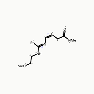 CC/C(=N\C=N/CC(=O)NC)NCCOC